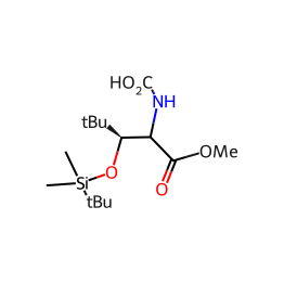 COC(=O)C(NC(=O)O)[C@@H](O[Si](C)(C)C(C)(C)C)C(C)(C)C